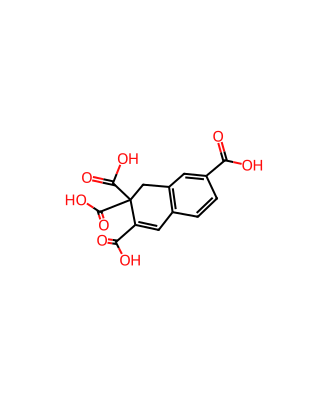 O=C(O)C1=Cc2ccc(C(=O)O)cc2CC1(C(=O)O)C(=O)O